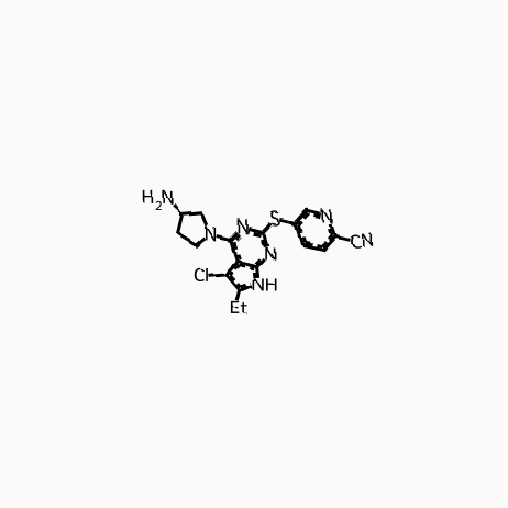 CCc1[nH]c2nc(Sc3ccc(C#N)nc3)nc(N3CC[C@@H](N)C3)c2c1Cl